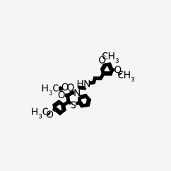 COc1ccc(C2Sc3ccccc3N(CCNCCCc3cc(OC)cc(OC)c3)C(=O)C2OC(C)=O)cc1